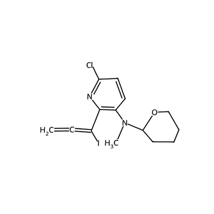 C=C=C(I)c1nc(Cl)ccc1N(C)C1CCCCO1